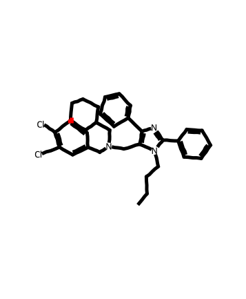 CCCCn1c(-c2ccccc2)nc(-c2ccccc2)c1CN(Cc1ccc(Cl)c(Cl)c1)CC1CCCCC1